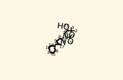 CC1(C)OC(=O)N(c2ccc(-c3ccccc3)cn2)CC1O